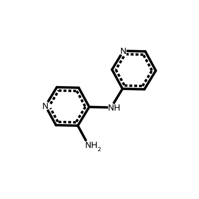 Nc1cnccc1Nc1cccnc1